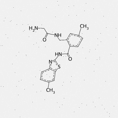 Cc1ccc(C(=O)Nc2nc3ccc(C)cc3s2)c(CNC(=O)CN)c1